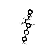 Cc1ccc(N2CCN(c3cc(O)cc(C(C)C(=O)Nc4nc5ccccc5s4)c3)CC2)cc1